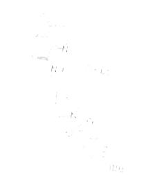 CCOCCN1CCc2cc[c]cc2C1C(=O)NCC1C2CN(S(=O)(=O)c3ccc(C(C)(C)C)cc3)CC12